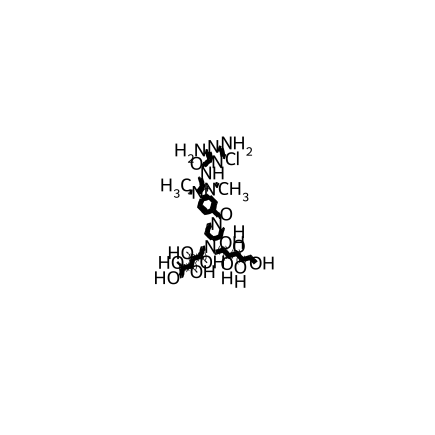 CCn1c(CNC(=O)c2nc(Cl)c(N)nc2N)[n+](CC)c2ccc(C(=O)N3CCC(N(C[C@H](O)[C@@H](O)[C@H](O)[C@H](O)CO)C[C@H](O)[C@@H](O)[C@H](O)[C@H](O)CO)CC3)cc21